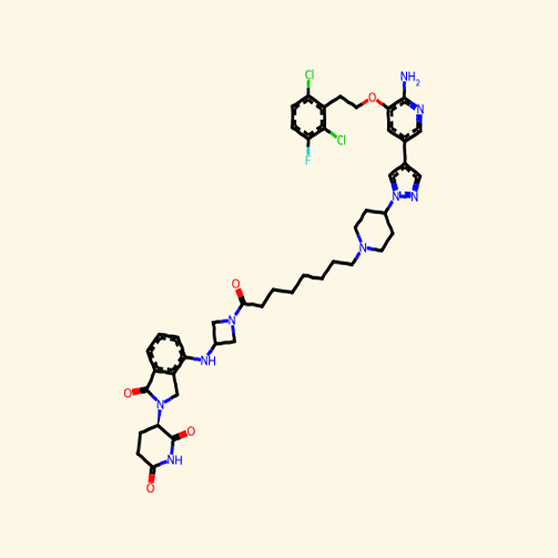 Nc1ncc(-c2cnn(C3CCN(CCCCCCCC(=O)N4CC(Nc5cccc6c5CN([C@@H]5CCC(=O)NC5=O)C6=O)C4)CC3)c2)cc1OCCc1c(Cl)ccc(F)c1Cl